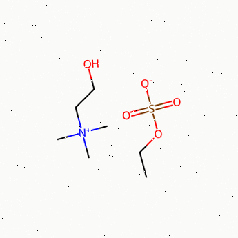 CCOS(=O)(=O)[O-].C[N+](C)(C)CCO